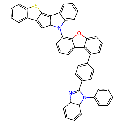 C1=CC2N=C(c3ccc(-c4cccc5oc6c(N7c8ccccc8C8=c9sc%10ccccc%10c9=CC87)cccc6c45)cc3)N(c3ccccc3)C2C=C1